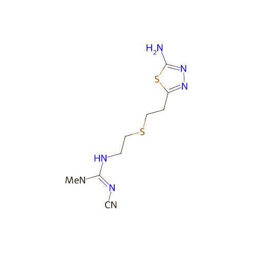 CNC(=NC#N)NCCSCCc1nnc(N)s1